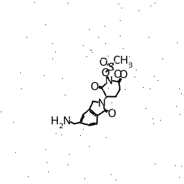 CS(=O)(=O)ON1C(=O)CCC(N2Cc3cc(CN)ccc3C2=O)C1=O